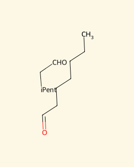 CCCC(C)CC=O.CCCCCCC=O